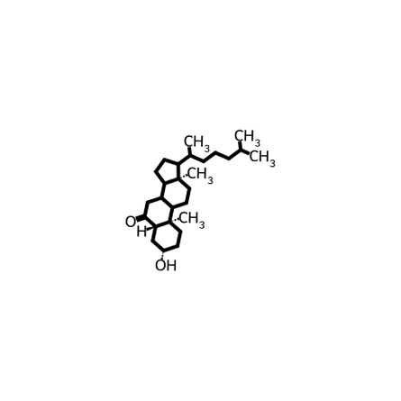 CC(C)CCCC(C)C1CCC2C3CC(=O)[C@H]4C[C@@H](O)CC[C@]4(C)C3CC[C@]12C